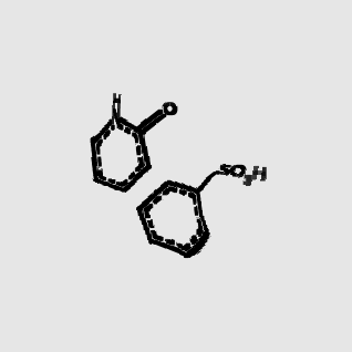 O=S(=O)(O)c1ccccc1.O=c1cccc[nH]1